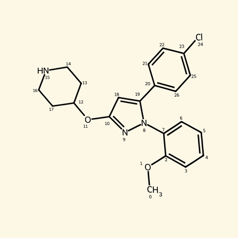 COc1ccccc1-n1nc(OC2CCNCC2)cc1-c1ccc(Cl)cc1